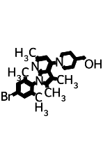 Cc1cc(N2CCC(CO)CC2)c2c(C)c(C)n(-c3c(C)cc(Br)cc3C)c2n1